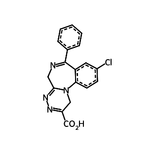 O=C(O)C1=NN=C2CN=C(c3ccccc3)c3cc(Cl)ccc3N2C1